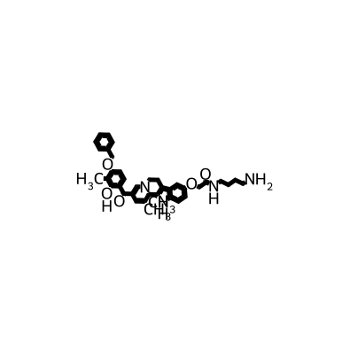 CC1=CC(C(=O)c2ccc(OCc3ccccc3)c(C)c2O)=CN2CCc3c([nH]c4ccc(OCC(=O)NCCCCN)cc34)C12C